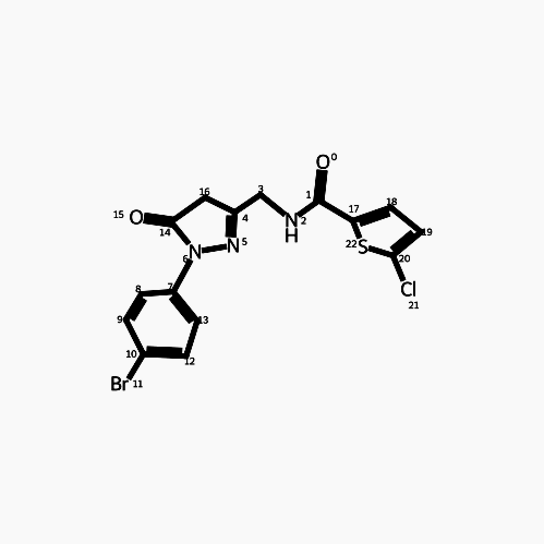 O=C(NCC1=NN(c2ccc(Br)cc2)C(=O)C1)c1ccc(Cl)s1